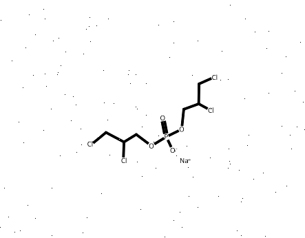 O=P([O-])(OCC(Cl)CCl)OCC(Cl)CCl.[Na+]